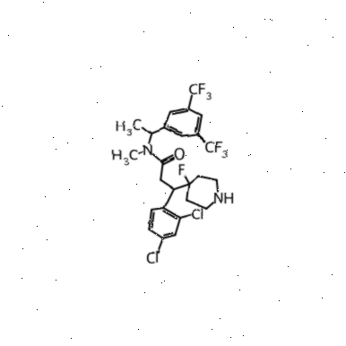 CC(c1cc(C(F)(F)F)cc(C(F)(F)F)c1)N(C)C(=O)CC(c1ccc(Cl)cc1Cl)C1(F)CCNCC1